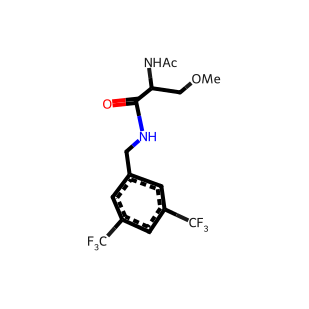 COCC(NC(C)=O)C(=O)NCc1cc(C(F)(F)F)cc(C(F)(F)F)c1